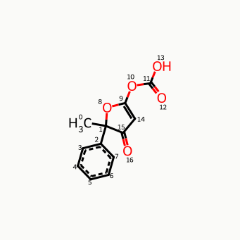 CC1(c2ccccc2)OC(OC(=O)O)=CC1=O